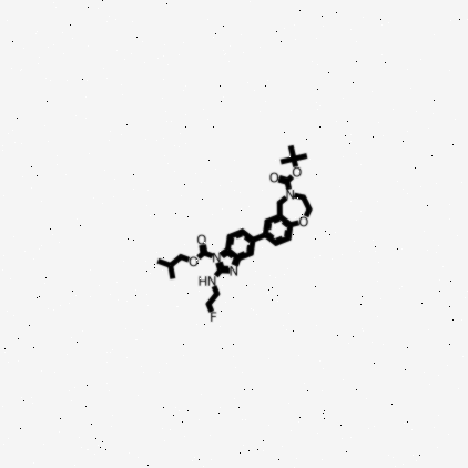 CC(C)COC(=O)n1c(NCCF)nc2cc(-c3ccc4c(c3)CN(C(=O)OC(C)(C)C)CCO4)ccc21